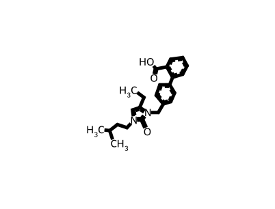 CCc1cn(CCC(C)C)c(=O)n1Cc1ccc(-c2ccccc2C(=O)O)cc1